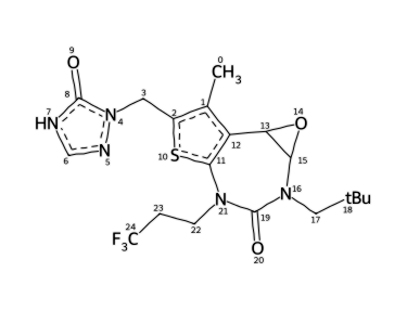 Cc1c(Cn2nc[nH]c2=O)sc2c1C1OC1N(CC(C)(C)C)C(=O)N2CCC(F)(F)F